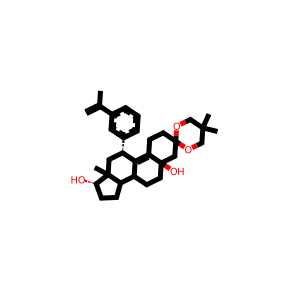 C=C(C)c1cccc([C@H]2CC3(C)C(CC[C@@H]3O)C3CCC4(O)CC5(CCC4=C32)OCC(C)(C)CO5)c1